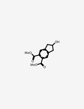 COC(=O)c1cc2c(cc1C(=O)OC)CC(O)C2